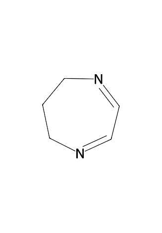 C1=NCCCN=C1